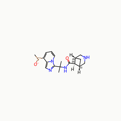 C[S+]([O-])c1cccn2c(C(C)(C)NC(=O)[C@H]3[C@@H]4CNC[C@H]3C4)ncc12